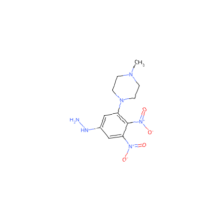 CN1CCN(c2cc(NN)cc([N+](=O)[O-])c2[N+](=O)[O-])CC1